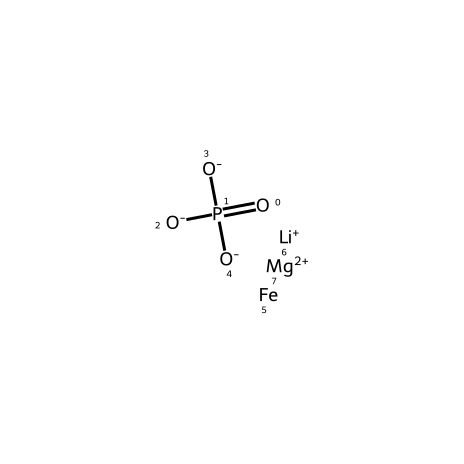 O=P([O-])([O-])[O-].[Fe].[Li+].[Mg+2]